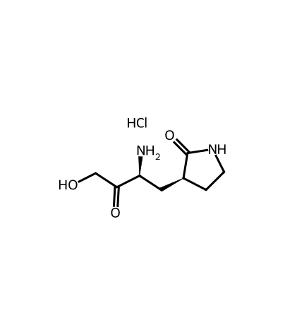 Cl.N[C@@H](C[C@@H]1CCNC1=O)C(=O)CO